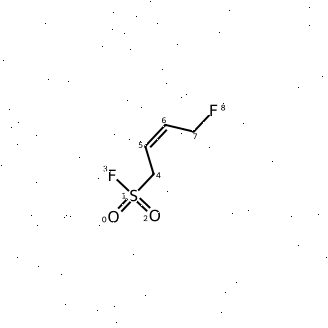 O=S(=O)(F)C/C=C\CF